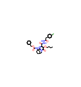 CCCCOc1c(C(=O)NNC(=O)Cc2ccc(F)cc2)nc2n(c1=O)CC1CCC2(NC(=O)OCc2ccccc2)CC1